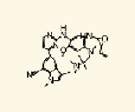 C=CC1OC1Nc1cc(Nc2nccc(-c3cc(C#N)c4c(c3)c(C)cn4C)n2)c(OC)cc1N(C)CC(C)(C)N(C)C